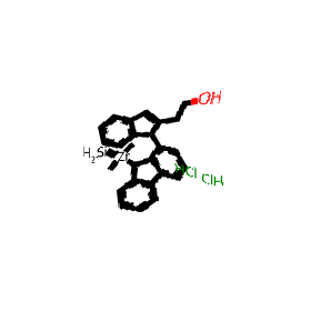 Cl.Cl.[CH3][Zr]([CH3])(=[SiH2])[CH]1c2ccccc2-c2cccc(C3C(CCO)=Cc4ccccc43)c21